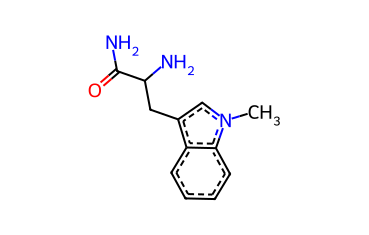 Cn1cc(CC(N)C(N)=O)c2ccccc21